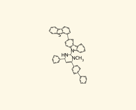 CN1C(c2ccc(-c3ccccc3)cc2)=CC(c2ccccc2)NC1n1c2ccccc2c2cc(-c3cccc4c3sc3ccccc34)ccc21